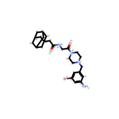 Nc1cc(Br)cc(CN2CCN(C(=O)CNC(=O)CC34CC5CC(CC(C5)C3)C4)CC2)c1